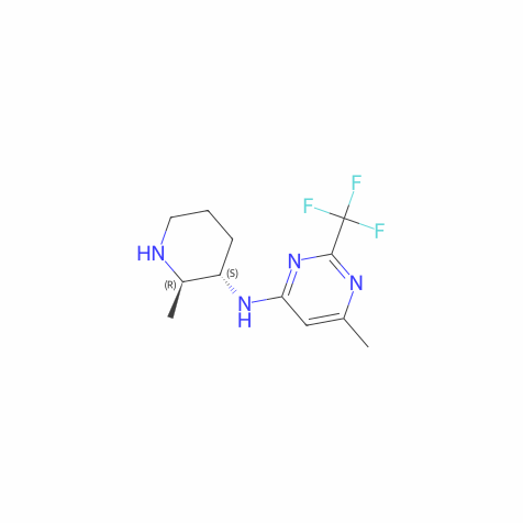 Cc1cc(N[C@H]2CCCN[C@@H]2C)nc(C(F)(F)F)n1